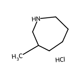 CC1CCCCNC1.Cl